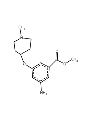 COC(=O)c1cc(N)cc(OC2CCN(C)CC2)n1